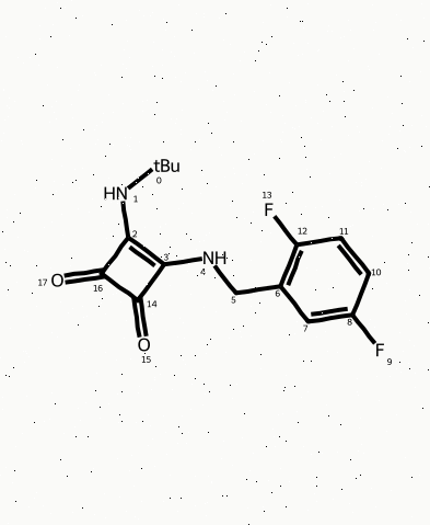 CC(C)(C)Nc1c(NCc2cc(F)ccc2F)c(=O)c1=O